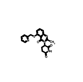 Cc1nc2cccc(SCc3ccccn3)c2c(=O)n1C1CCC(=O)NC1=O